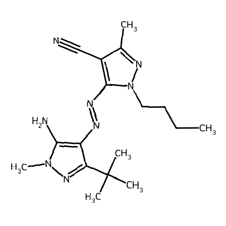 CCCCn1nc(C)c(C#N)c1N=Nc1c(C(C)(C)C)nn(C)c1N